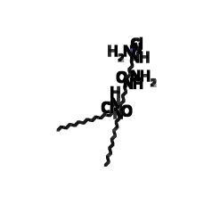 CCCCCCCCCCCCCCN(CCCCCCCCCCCC)C(=O)C(CCCCNC(=O)C(N)CCCN/C(N)=N/Cl)NCl